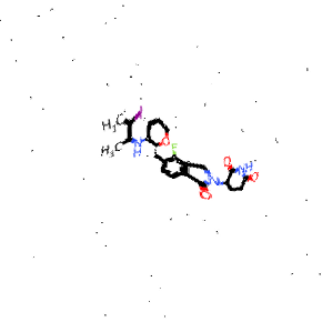 CC(I)C(C)N[C@H]1CCCO[C@@H]1Cc1ccc2c(c1F)CN(C1CCC(=O)NC1=O)C2=O